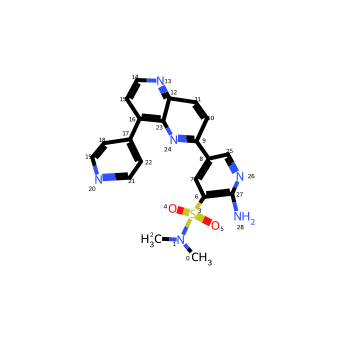 CN(C)S(=O)(=O)c1cc(-c2ccc3nccc(-c4ccncc4)c3n2)cnc1N